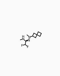 CN/C(=N\N(C)C1CC2(CCC2)C1)C(F)F